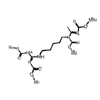 C/C(=N\C(=O)OC(C)(C)C)N(CCCCCN/C(=N\C(=O)OC(C)(C)C)NC(=O)OC(C)(C)C)C(=O)OC(C)(C)C